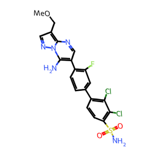 COCc1cnn2c(N)c(-c3ccc(-c4ccc(S(N)(=O)=O)c(Cl)c4Cl)cc3F)cnc12